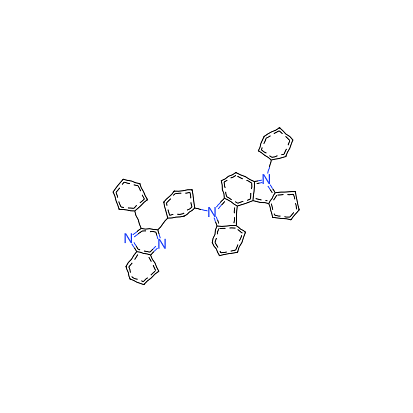 c1ccc(-c2nc3ccccc3nc2-c2cccc(-n3c4ccccc4c4c5c6ccccc6n(-c6ccccc6)c5ccc43)c2)cc1